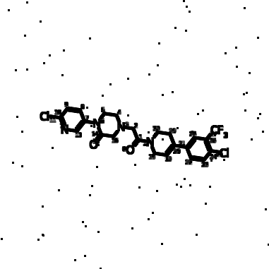 O=C(CN1CCN(c2ccc(Cl)nc2)C(=O)C1)N1CC=C(c2ccc(Cl)c(C(F)(F)F)c2)CC1